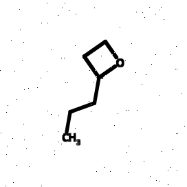 CCC[C]1CCO1